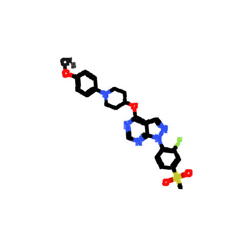 CS(=O)(=O)c1ccc(-n2ncc3c(OC4CCN(c5ccc(OC(F)(F)F)cc5)CC4)ncnc32)c(F)c1